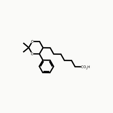 CC1(C)OCC(CCCCCCC(=O)O)C(c2ccccc2)O1